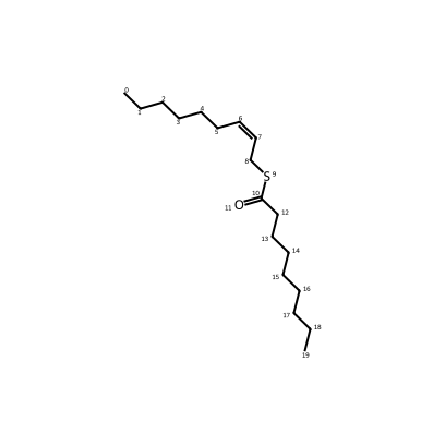 CCCCCC/C=C\CSC(=O)CCCCCCCC